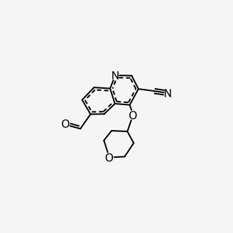 N#Cc1cnc2ccc(C=O)cc2c1OC1CCOCC1